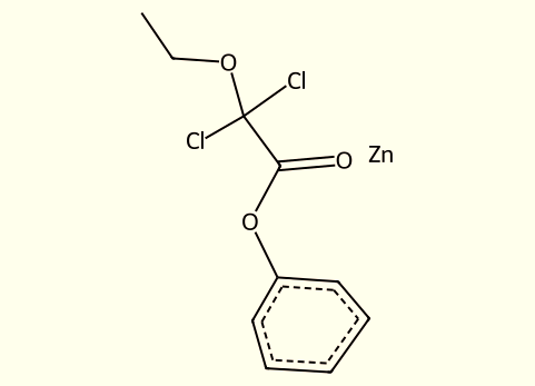 CCOC(Cl)(Cl)C(=O)Oc1ccccc1.[Zn]